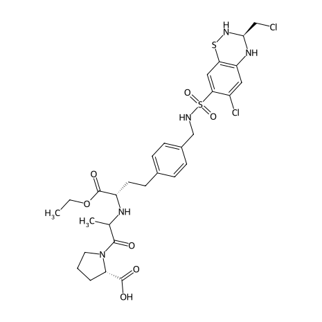 CCOC(=O)[C@H](CCc1ccc(CNS(=O)(=O)c2cc3c(cc2Cl)N[C@H](CCl)NS3)cc1)NC(C)C(=O)N1CCC[C@H]1C(=O)O